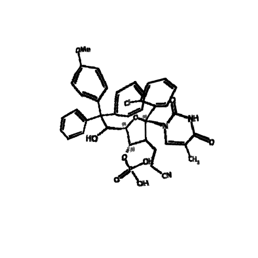 COc1ccc(C(c2ccccc2)(c2ccccc2)C(O)[C@H]2O[C@@](c3ccccc3Cl)(n3cc(C)c(=O)[nH]c3=O)C(CCC#N)[C@@H]2OP(=O)(O)O)cc1